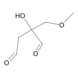 COCC(O)(C=O)CC=O